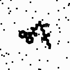 C=C(S/C=C(\C)C(=O)Nc1ccccc1-c1ccccc1)C(CCC)CCCC(=S)NC/C=C/C